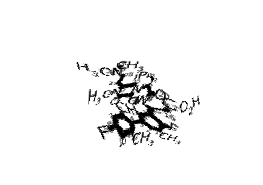 Cc1cc(-c2c(C)cc(F)cc2C)cc([C@H](CC(=O)O)NC(=O)[C@H](CC(C)C)n2cc(CCN(C)C)n(C)c(=O)c2=O)c1F